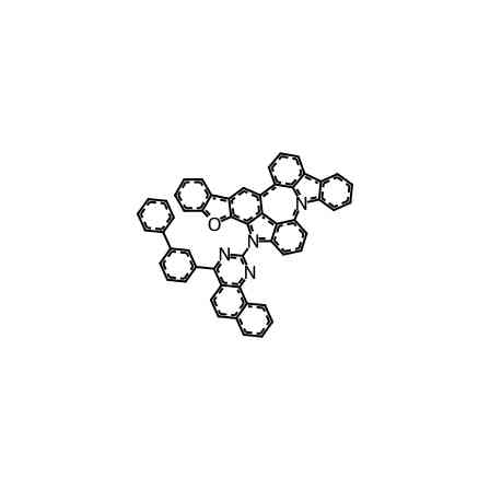 c1ccc(-c2cccc(-c3nc(-n4c5cccc6c5c5c(cc7c8ccccc8oc7c54)c4cccc5c7ccccc7n6c45)nc4c3ccc3ccccc34)c2)cc1